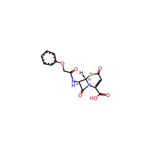 O=C(COc1ccccc1)N[C@@H]1C(=O)N2C(C(=O)O)=CC(=O)S[C@@H]12